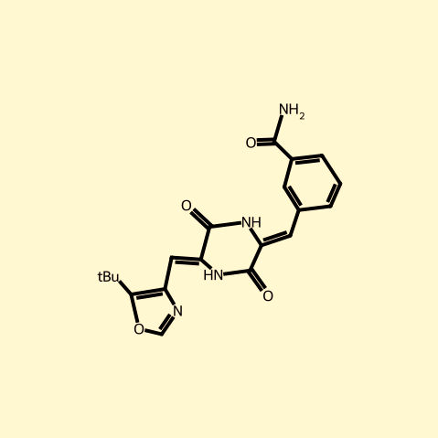 CC(C)(C)c1ocnc1/C=c1\[nH]c(=O)/c(=C/c2cccc(C(N)=O)c2)[nH]c1=O